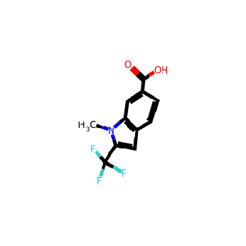 Cn1c(C(F)(F)F)cc2ccc(C(=O)O)cc21